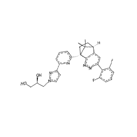 CC1(C)[C@H]2CC[C@]1(c1cccc(-c3ccn(C[C@H](O)CO)n3)n1)c1nnc(-c3c(F)cccc3F)cc12